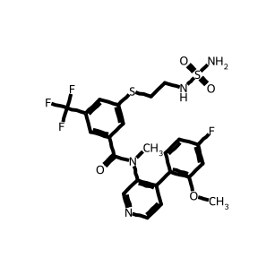 COc1cc(F)ccc1-c1ccncc1N(C)C(=O)c1cc(SCCNS(N)(=O)=O)cc(C(F)(F)F)c1